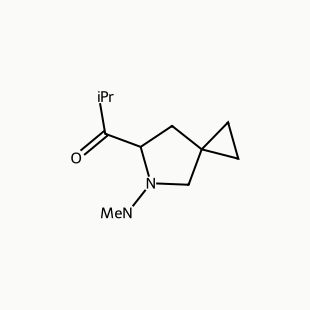 CNN1CC2(CC2)CC1C(=O)C(C)C